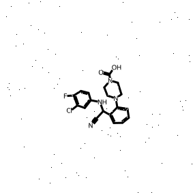 N#CC(Nc1ccc(F)c(Cl)c1)c1ccccc1N1CCN(C(=O)O)CC1